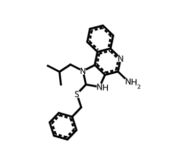 CC(C)CN1c2c(c(N)nc3ccccc23)NC1SCc1ccccc1